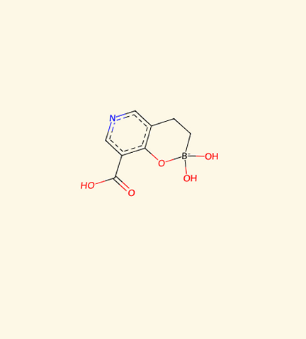 O=C(O)c1cncc2c1O[B-](O)(O)CC2